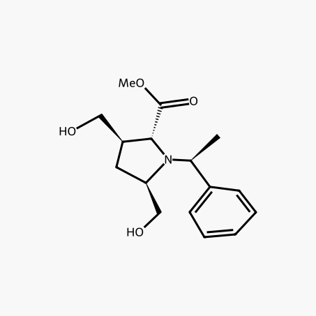 COC(=O)[C@H]1[C@H](CO)C[C@H](CO)N1[C@@H](C)c1ccccc1